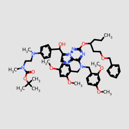 CCCC(CCOCc1ccccc1)Oc1nc(N(Cc2ccc(OC)cc2OC)Cc2ccc(OC)cc2OC)c2ncc(C(O)c3ccc(N(C)CCN(C)C(=O)OC(C)(C)C)cc3)n2n1